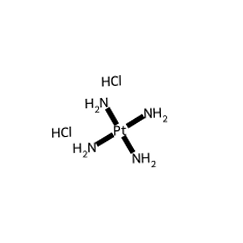 Cl.Cl.[NH2][Pt]([NH2])([NH2])[NH2]